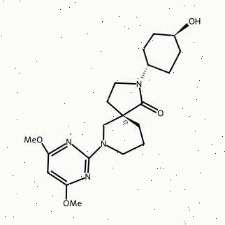 COc1cc(OC)nc(N2CCC[C@]3(CCN([C@H]4CC[C@H](O)CC4)C3=O)C2)n1